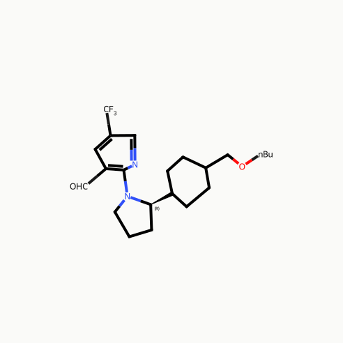 CCCCOCC1CCC([C@H]2CCCN2c2ncc(C(F)(F)F)cc2C=O)CC1